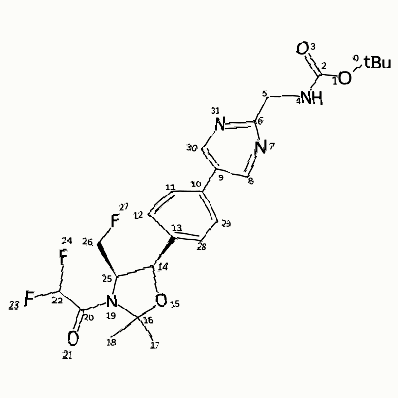 CC(C)(C)OC(=O)NCc1ncc(-c2ccc([C@H]3OC(C)(C)N(C(=O)C(F)F)[C@H]3CF)cc2)cn1